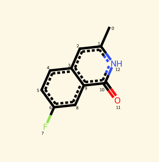 Cc1cc2ccc(F)cc2c(=O)[nH]1